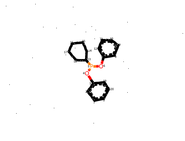 c1ccc(OP(Oc2ccccc2)C2CCCCC2)cc1